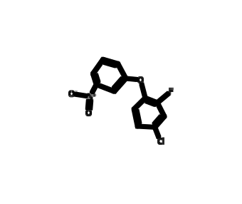 O=[N+]([O-])c1cccc(Oc2ccc(Cl)cc2F)c1